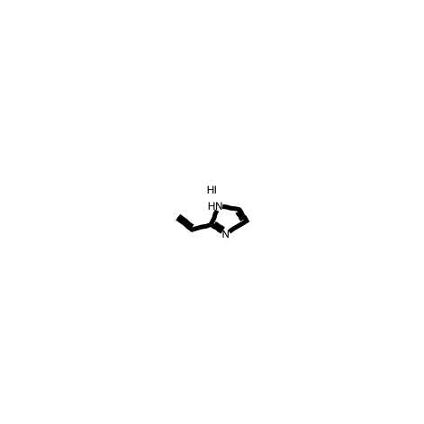 C=Cc1ncc[nH]1.I